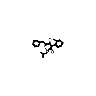 Cc1ccccc1-c1c(O)c(Cc2ccccc2)nn(CC(C)C)c1=O